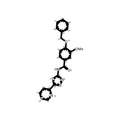 COc1cc(C(=O)Nc2nnc(-c3ccncn3)s2)ccc1OCc1ccccc1